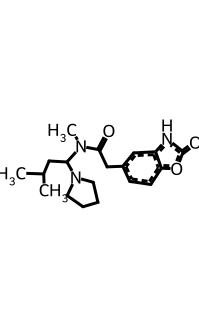 CC(C)CC(N1CCCC1)N(C)C(=O)Cc1ccc2oc(=O)[nH]c2c1